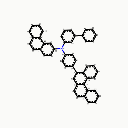 c1ccc(-c2cccc(N(c3ccc(-c4cc5ccc6ccccc6c5c5ccccc45)cc3)c3ccc4ccc5ccccc5c4c3)c2)cc1